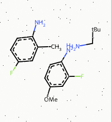 CC(C)(C)CN.COc1ccc(N)c(F)c1.Cc1cc(F)ccc1N